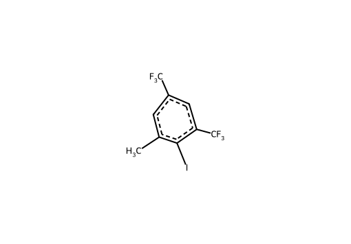 Cc1cc(C(F)(F)F)cc(C(F)(F)F)c1I